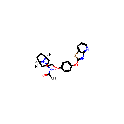 CC(=O)NC1C[C@H]2CC[C@@H](C1)N2CCOc1ccc(Oc2nc3ncccc3s2)cc1